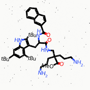 COC(=O)C(CCCN)(CCCN)CNC(=O)C(Cc1c(C(C)(C)C)[nH]c2cc(C(C)(C)C)cc(C(C)(C)C)c12)NC(=O)c1ccc2ccccc2c1